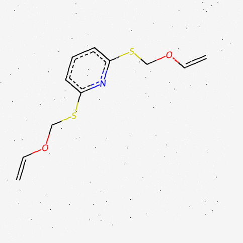 C=COCSc1cccc(SCOC=C)n1